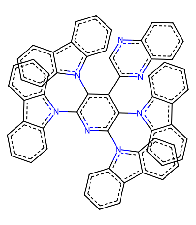 c1ccc2nc(-c3c(-n4c5ccccc5c5ccccc54)c(-n4c5ccccc5c5ccccc54)nc(-n4c5ccccc5c5ccccc54)c3-n3c4ccccc4c4ccccc43)cnc2c1